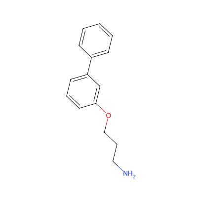 NCCCOc1cccc(-c2ccccc2)c1